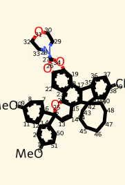 COc1ccc(C2(c3ccc(OC)cc3)C=Cc3c4c(c5cc6c(cc5c3O2)OC(N2CCOCC2)O6)-c2ccc(C(F)(F)F)cc2C42CCCCCCC2)cc1